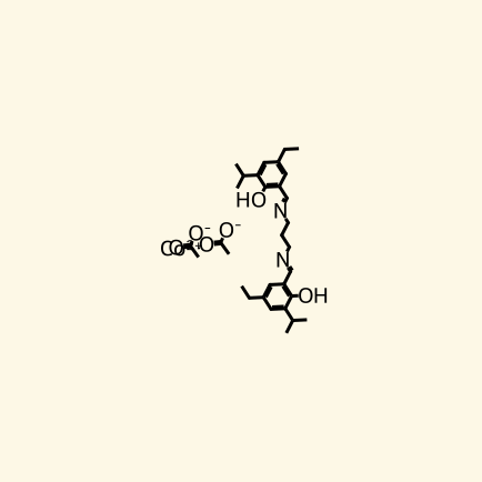 CC(=O)[O-].CC(=O)[O-].CCc1cc(C=NCCCN=Cc2cc(CC)cc(C(C)C)c2O)c(O)c(C(C)C)c1.[Co+2]